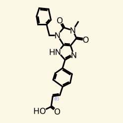 Cn1c(=O)c2nc(-c3ccc(/C=C/C(=O)O)cc3)[nH]c2n(Cc2ccccc2)c1=O